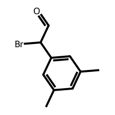 Cc1cc(C)cc(C(Br)C=O)c1